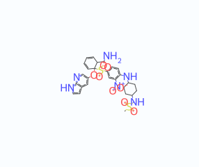 CS(=O)(=O)NC1CCC(Nc2ccc(S(=O)(=O)C3(Oc4cnc5[nH]ccc5c4)C=CC=CC3C(N)=O)cc2[N+](=O)[O-])CC1